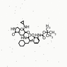 CC(C)(C)OC(=O)Nc1cccn([C@@H](CC2CCCCC2)C(=O)NC(C[C@@H]2CCNC2=O)C(=O)C(=O)NC2CC2)c1=O